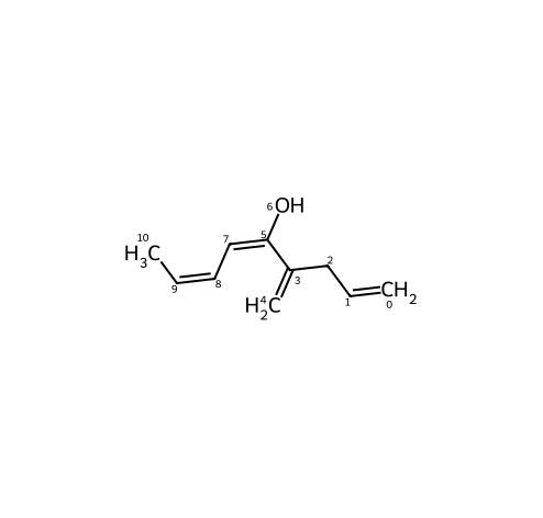 C=CCC(=C)/C(O)=C\C=C/C